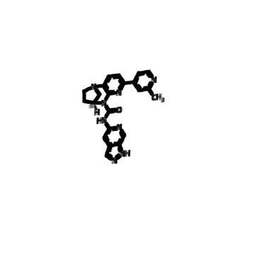 Cc1cc(-c2ccc3c(n2)N(C(=O)Nc2cc4cn[nH]c4cn2)[C@H]2CCN3C2)ccn1